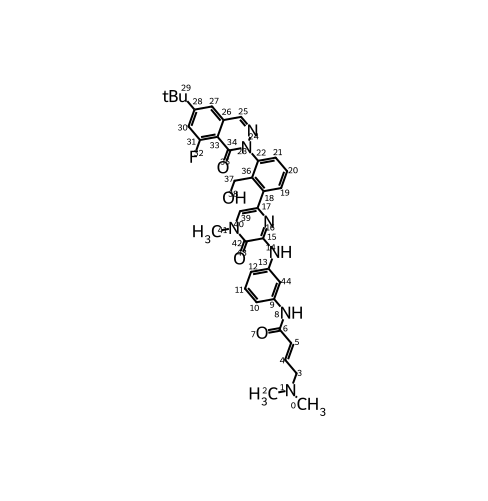 CN(C)C/C=C/C(=O)Nc1cccc(Nc2nc(-c3cccc(-n4ncc5cc(C(C)(C)C)cc(F)c5c4=O)c3CO)cn(C)c2=O)c1